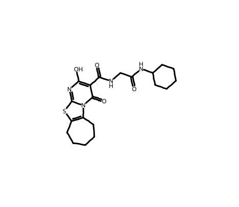 O=C(CNC(=O)c1c(O)nc2sc3c(n2c1=O)CCCCC3)NC1CCCCC1